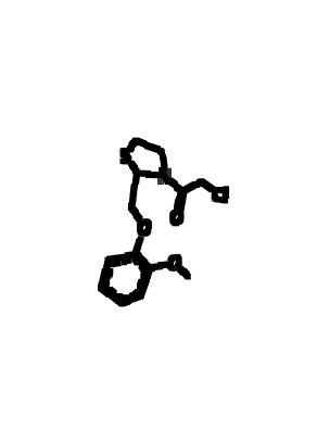 COc1ccccc1OCC1SCCN1C(=O)CCl